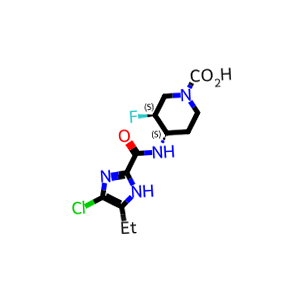 CCc1[nH]c(C(=O)N[C@H]2CCN(C(=O)O)C[C@@H]2F)nc1Cl